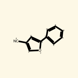 N#Cc1coc(-c2ccccc2)c1